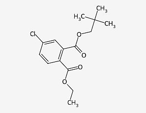 CCOC(=O)c1ccc(Cl)cc1C(=O)OCC(C)(C)C